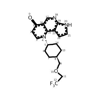 O=c1ccn([C@H]2CC[C@H](COCC(F)(F)F)CC2)c2c1cnc1[nH]ccc12